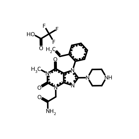 C=Cc1ccccc1-n1c(N2CCNCC2)nc2c1c(=O)n(C)c(=O)n2CC(N)=O.O=C(O)C(F)(F)F